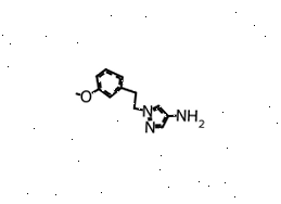 COc1cccc(CCn2cc(N)cn2)c1